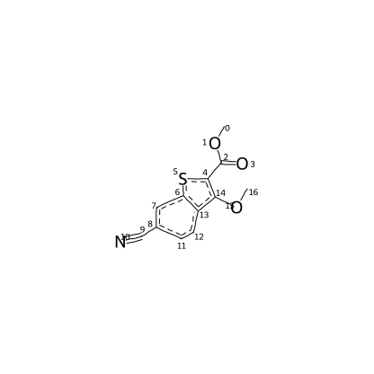 COC(=O)c1sc2cc(C#N)ccc2c1OC